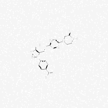 Cc1nnn(-c2ccc(C(F)F)cc2)c1COc1cnc(N2CCNC(=O)C2)cn1